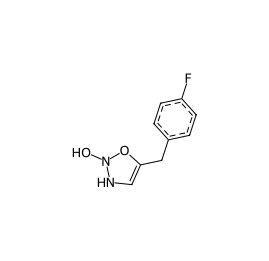 ON1NC=C(Cc2ccc(F)cc2)O1